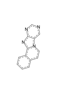 c1ccc2c(c1)ccn1c3cncnc3nc21